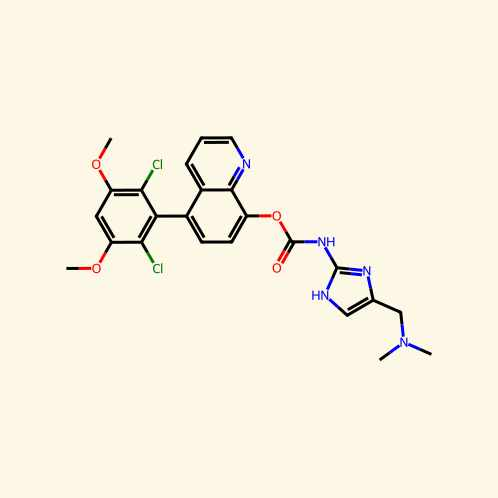 COc1cc(OC)c(Cl)c(-c2ccc(OC(=O)Nc3nc(CN(C)C)c[nH]3)c3ncccc23)c1Cl